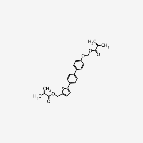 C=C(C)C(=O)OCOc1ccc(-c2ccc(-c3ccc(COC(=O)C(=C)C)s3)cc2)cc1